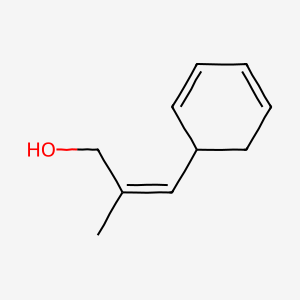 CC(=CC1C=CC=CC1)CO